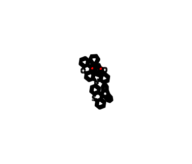 c1ccc2c(c1)Oc1ccc(N(c3ccc4c(c3)C3(c5ccccc5S4)c4ccccc4-c4ccccc43)c3cccc4oc5ccccc5c34)cc1C21c2ccccc2-c2ccccc21